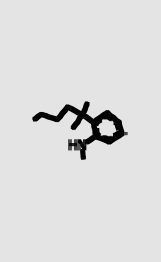 CCCCC(C)(C)c1cc[c]cc1NC